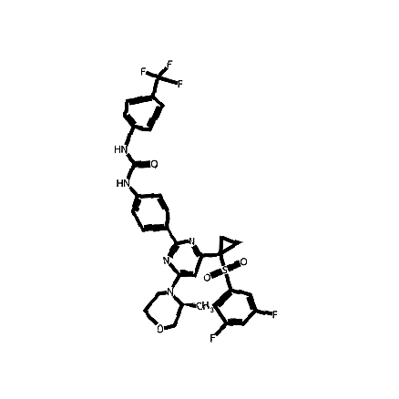 C[C@H]1COCCN1c1cc(C2(S(=O)(=O)c3cc(F)cc(F)c3)CC2)nc(-c2ccc(NC(=O)Nc3ccc(C(F)(F)F)cc3)cc2)n1